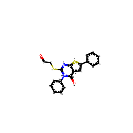 O=[C]CSc1nc2sc(-c3ccccc3)cc2c(=O)n1-c1ccccc1